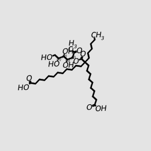 CCCCCCC(CCCCCCCCCCCC(=O)O)(CCCCCCCCCC(=O)O)C(=O)O[C@@H](C(C)=O)[C@@H](O)[C@H](O)[C@H](O)CO